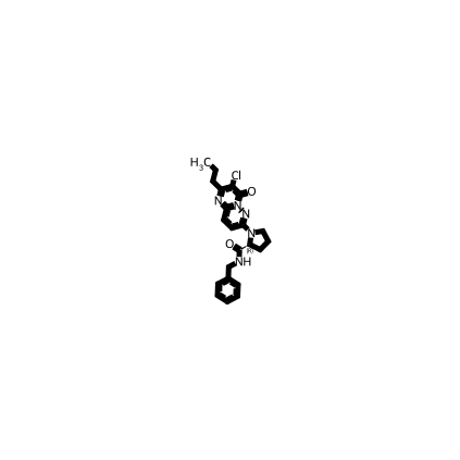 CCCc1nc2ccc(N3CCC[C@@H]3C(=O)NCc3ccccc3)nn2c(=O)c1Cl